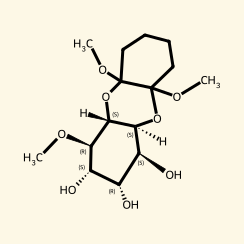 CO[C@@H]1[C@@H](O)[C@@H](O)[C@H](O)[C@@H]2OC3(OC)CCCCC3(OC)O[C@@H]12